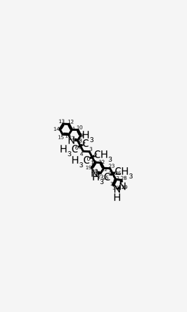 CC(C)(CCC(C)(C)c1ccc2ccccc2n1)c1cncc(CC(C)(C)c2cn[nH]c2)c1